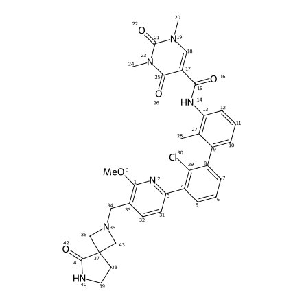 COc1nc(-c2cccc(-c3cccc(NC(=O)c4cn(C)c(=O)n(C)c4=O)c3C)c2Cl)ccc1CN1CC2(CCNC2=O)C1